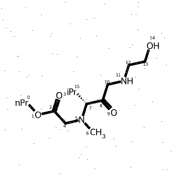 CCCOC(=O)CN(C)[C@@H](C(=O)CNCCO)C(C)C